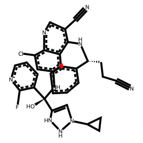 N#CCC[C@@H](Nc1c(C#N)cnc2c(Cl)cc(N[C@](O)(C3=CN(C4CC4)NN3)c3cccnc3F)cc12)c1ccccc1